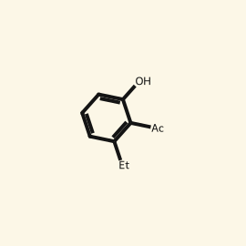 CCc1cccc(O)c1C(C)=O